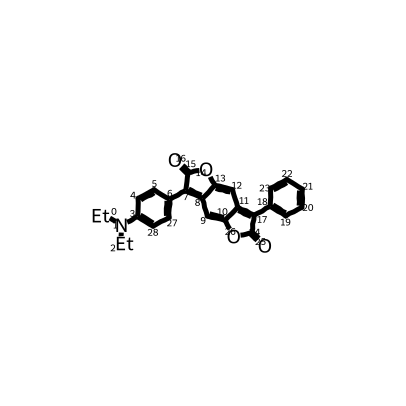 CCN(CC)c1ccc(C2=c3cc4c(cc3OC2=O)=C(c2ccccc2)C(=O)O4)cc1